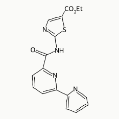 CCOC(=O)c1cnc(NC(=O)c2cccc(-c3ccccn3)n2)s1